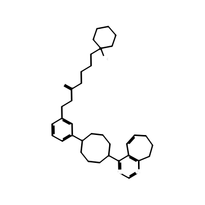 O=C(CCCCC1(O)CCCCC1)CCc1cccc(C2CCCC(c3ncnc4c3C=CCCC4)CCC2)c1